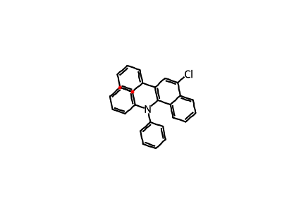 Clc1cc(-c2ccccc2)c(N(c2ccccc2)c2ccccc2)c2ccccc12